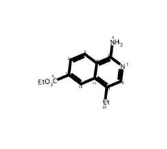 CCOC(=O)c1ccc2c(N)ncc(CC)c2c1